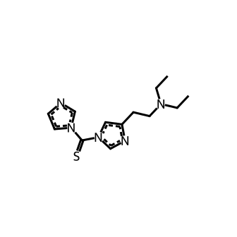 CCN(CC)CCc1cn(C(=S)n2ccnc2)cn1